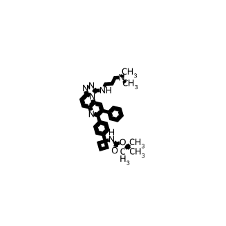 CN(C)CCCNc1nnc2ccc3nc(-c4ccc(C5(NC(=O)OC(C)(C)C)CCC5)cc4)c(-c4ccccc4)cc3n12